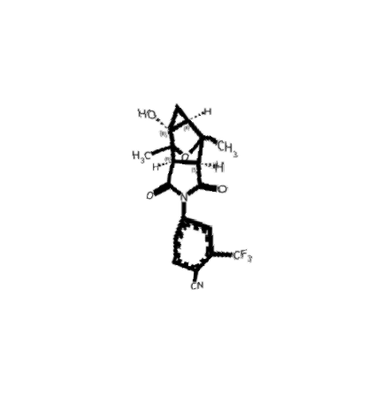 CC12OC(C)([C@@H]3C(=O)N(c4ccc(C#N)c(C(F)(F)F)c4)C(=O)[C@@H]31)[C@@]1(O)C[C@@H]21